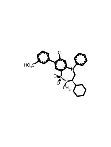 CN1[C@H](C2CCCCC2)CN(c2ccccc2)c2cc(Cl)c(-c3cccc(S(=O)(=O)O)c3)cc2S1(=O)=O